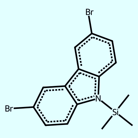 C[Si](C)(C)n1c2ccc(Br)cc2c2cc(Br)ccc21